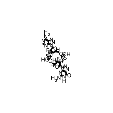 Nc1nc2c(nnn2[C@@H]2O[C@@H]3COP(O)(=S)O[C@H]4[C@H](F)[C@H](n5nnc6c(N)ncnc65)O[C@@H]4COP(O)(=S)O[C@@H]2[C@@H]3F)c(=O)[nH]1